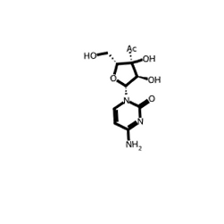 CC(=O)[C@@]1(O)[C@@H](CO)O[C@@H](n2ccc(N)nc2=O)[C@@H]1O